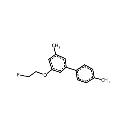 Cc1ccc(-c2cc(C)cc(OCCF)c2)cc1